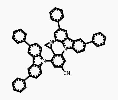 N#Cc1cc(-n2c3ccc(-c4ccccc4)cc3c3cc(-c4ccccc4)ccc32)c(C2CN2)c(-n2c3ccc(-c4ccccc4)cc3c3cc(-c4ccccc4)ccc32)c1